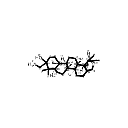 CC1(C)CC[C@]23CC[C@]4(C)[C@H](CC[C@@H]5[C@@]6(C)CCC(O)(CN)C(C)(C)[C@@H]6CC[C@]54C)[C@@H]2[C@H]1OC3